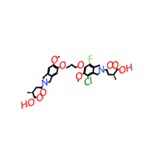 COc1cc2c(cc1OCCCOc1c(F)c3c(c(Cl)c1OC)CN(C(=O)C[C@H](C)C(=O)O)C3)CN(C(=O)C[C@H](C)C(=O)O)C2